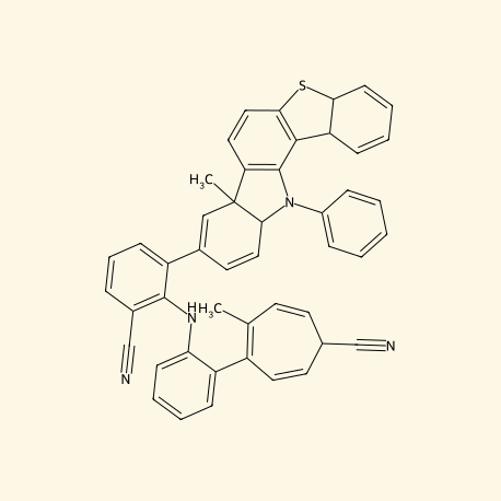 CC1=C(c2ccccc2Nc2c(C#N)cccc2C2=CC3(C)c4ccc5c(c4N(c4ccccc4)C3C=C2)C2C=CC=CC2S5)C=CC(C#N)C=C1